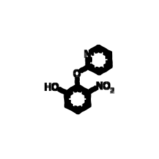 O=[N+]([O-])c1cccc(O)c1Oc1ccccn1